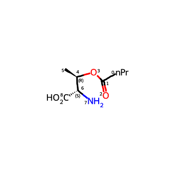 CCCC(=O)O[C@H](C)[C@H](N)C(=O)O